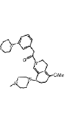 COC1=C2CCN(C(=O)Cc3cccc(N4CCOCC4)c3)C=C2C(N2CCN(C)CC2)CC1